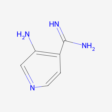 N=C(N)c1ccncc1N